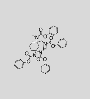 CN(C(=O)Oc1ccccc1)C1(CNC(=O)Oc2ccccc2)CCCC(N(C)C(=O)Oc2ccccc2)(N(C)C(=O)Oc2ccccc2)C1